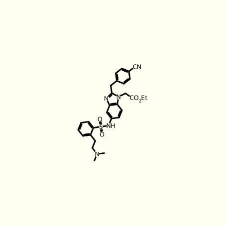 CCOC(=O)Cn1c(Cc2ccc(C#N)cc2)nc2cc(NS(=O)(=O)c3ccccc3CCN(C)C)ccc21